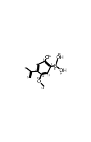 C=C(C)c1cc(Cl)c(B(O)O)cc1OC